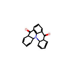 O=C1c2cccc3c2N(C2C=CC=CC12)C1C=CC=CC1C3=O